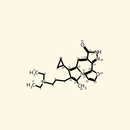 CCN(CC)CCCc1c(C)[nH]c(/C=C2/C(=O)NN=C2c2ccco2)c1C1CC1